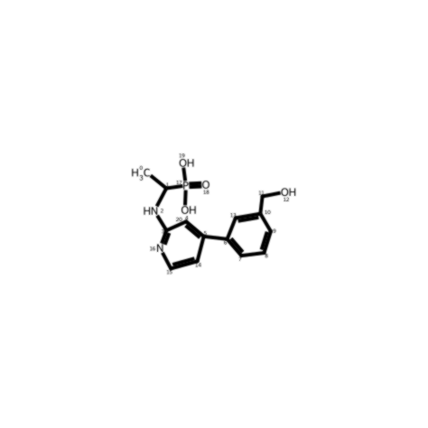 CC(Nc1cc(-c2cccc(CO)c2)ccn1)P(=O)(O)O